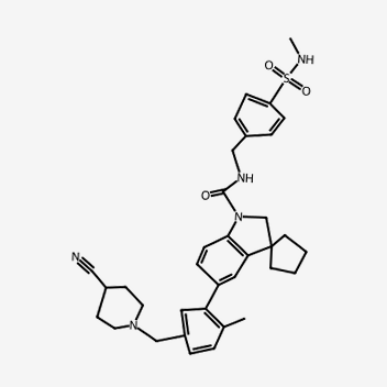 CNS(=O)(=O)c1ccc(CNC(=O)N2CC3(CCCC3)c3cc(-c4cc(CN5CCC(C#N)CC5)ccc4C)ccc32)cc1